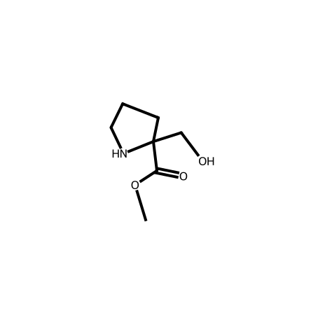 COC(=O)C1(CO)CCCN1